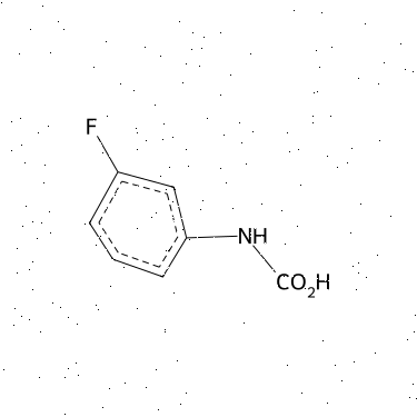 O=C(O)Nc1cccc(F)c1